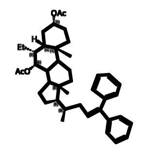 CC[C@H]1[C@@H](OC(C)=O)C2C3CC[C@H]([C@H](C)CC=C(c4ccccc4)c4ccccc4)[C@@]3(C)CCC2[C@@]2(C)CC[C@@H](OC(C)=O)C[C@@H]12